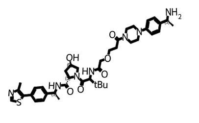 Cc1ncsc1-c1ccc([C@H](C)NC(=O)[C@@H]2C[C@@H](O)CN2C(=O)C(NC(=O)COCCC(=O)N2CCN(c3ccc([C@H](C)N)cc3)CC2)C(C)(C)C)cc1